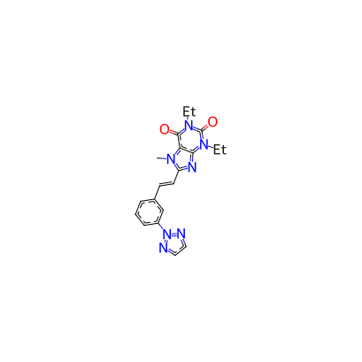 CCn1c(=O)c2c(nc(/C=C/c3cccc(-n4nccn4)c3)n2C)n(CC)c1=O